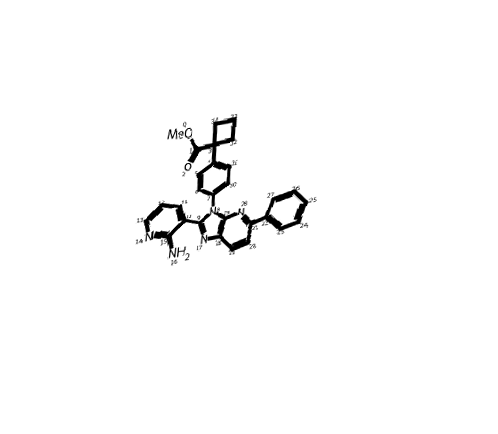 COC(=O)C1(c2ccc(-n3c(-c4cccnc4N)nc4ccc(-c5ccccc5)nc43)cc2)CCC1